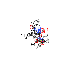 CC(C)C[C@@H](C(=O)NN(c1ccccc1)S(C)(=O)=O)[C@H](CNC(=O)c1ccccc1)C(=O)NO